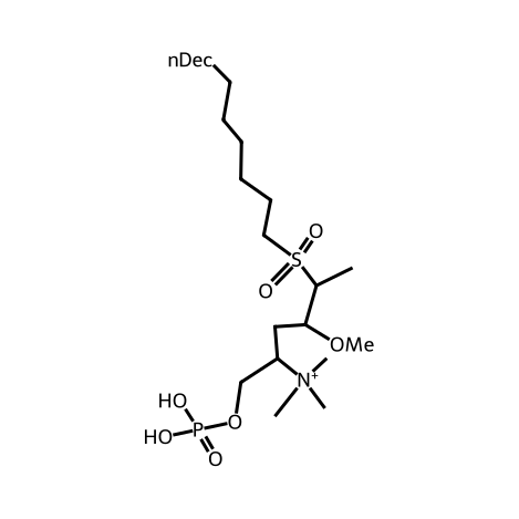 CCCCCCCCCCCCCCCCS(=O)(=O)C(C)C(CC(COP(=O)(O)O)[N+](C)(C)C)OC